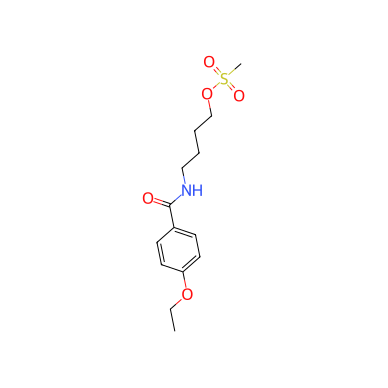 CCOc1ccc(C(=O)NCCCCOS(C)(=O)=O)cc1